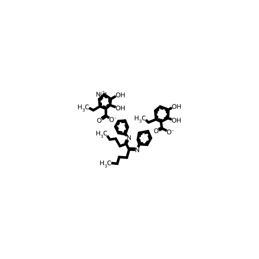 CCCCC(=Nc1ccccc1)C(CCCC)=Nc1ccccc1.CCc1ccc(O)c(O)c1C(=O)[O-].CCc1ccc(O)c(O)c1C(=O)[O-].[Ni+2]